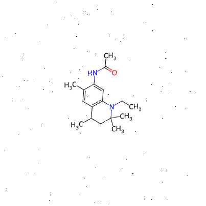 CCN1c2cc(NC(C)=O)c(C)cc2C(C)CC1(C)C